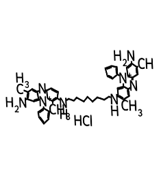 Cc1cc2nc3cc(C)c(NCCCCCCCCCNc4ccc5nc6cc(C)c(N)cc6[n+](-c6ccccc6)c5c4C)cc3[n+](-c3ccccc3)c2cc1N.Cl